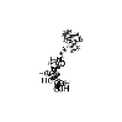 O=C(NCCCCCCC(c1ccccc1)(c1ccccc1)c1ccccc1)c1ccc[n+]([C@@H]2O[C@H](COP(=O)(O)O)[C@@H](O)[C@H]2O)c1